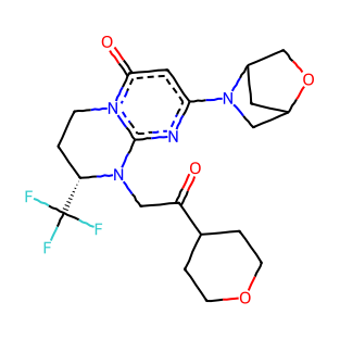 O=C(CN1c2nc(N3CC4CC3CO4)cc(=O)n2CC[C@H]1C(F)(F)F)C1CCOCC1